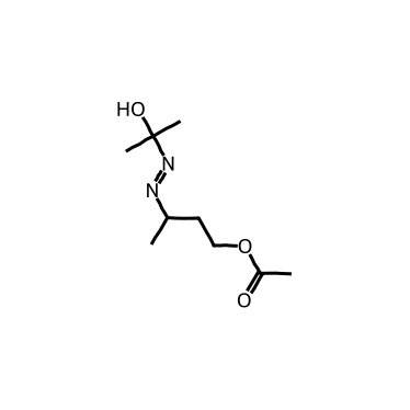 CC(=O)OCCC(C)/N=N/C(C)(C)O